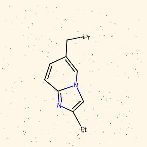 CCc1cn2cc(CC(C)C)ccc2n1